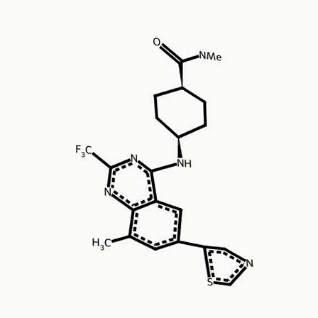 CNC(=O)[C@H]1CC[C@@H](Nc2nc(C(F)(F)F)nc3c(C)cc(-c4cncs4)cc23)CC1